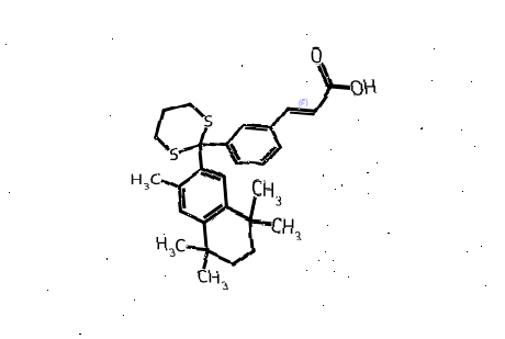 Cc1cc2c(cc1C1(c3cccc(/C=C/C(=O)O)c3)SCCCS1)C(C)(C)CCC2(C)C